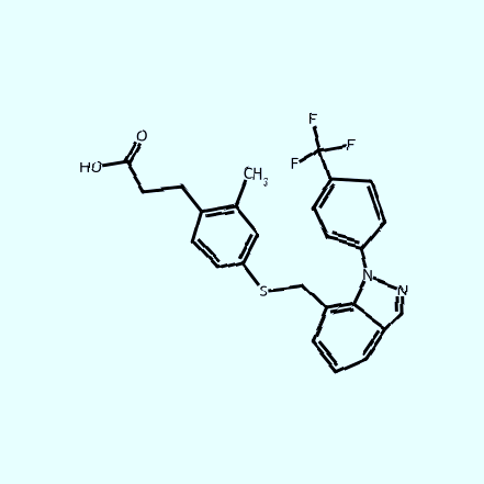 Cc1cc(SCc2cccc3cnn(-c4ccc(C(F)(F)F)cc4)c23)ccc1CCC(=O)O